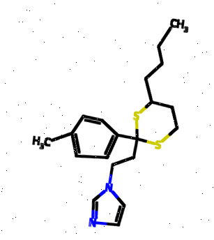 CCCCC1CCSC(CCn2ccnc2)(c2ccc(C)cc2)S1